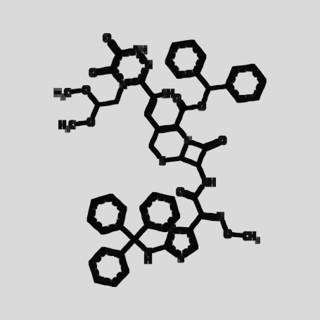 CON=C(C(=O)NC1C(=O)N2C(C(=O)OC(c3ccccc3)c3ccccc3)=C(C=C(S)c3n[nH]c(=O)c(=O)n3CC(OC)OC)CSC12)c1csc(NC(c2ccccc2)(c2ccccc2)c2ccccc2)n1